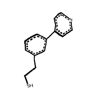 SCCc1cccc(-c2ccncc2)c1